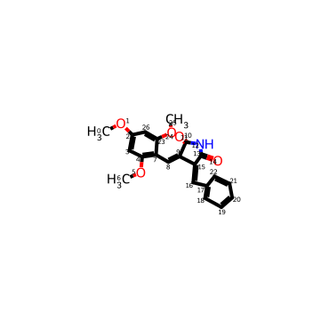 COc1cc(OC)c(C=C2C(=O)NC(=O)C2=Cc2ccccc2)c(OC)c1